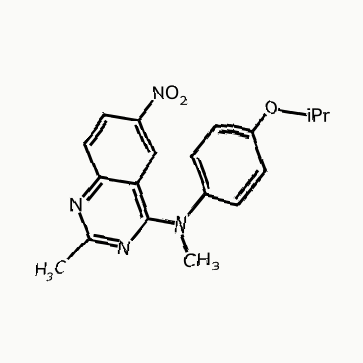 Cc1nc(N(C)c2ccc(OC(C)C)cc2)c2cc([N+](=O)[O-])ccc2n1